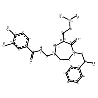 CCC(CN1CC[C@@H](CNC(=O)c2ccc(Cl)c(Cl)c2)N[C@@H](CCN(CC)CC)C1=O)c1ccccc1